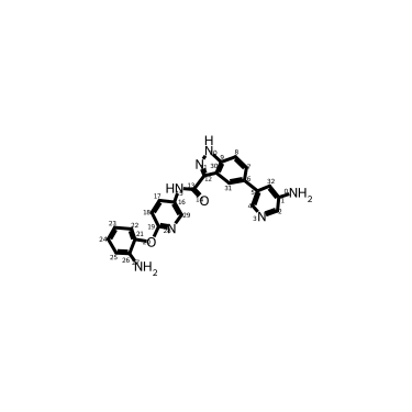 Nc1cncc(-c2ccc3[nH]nc(C(=O)Nc4ccc(Oc5ccccc5N)nc4)c3c2)c1